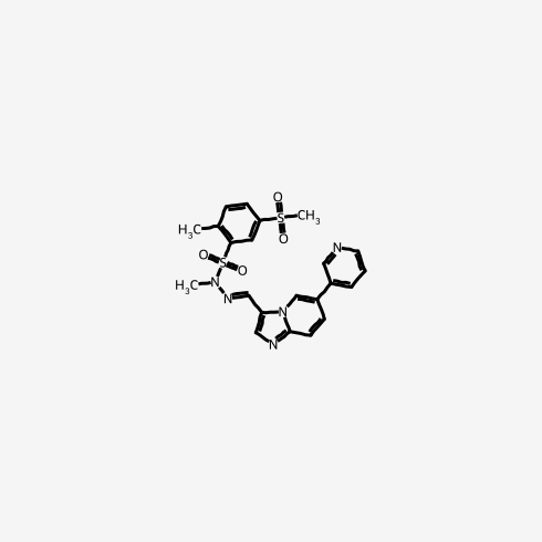 Cc1ccc(S(C)(=O)=O)cc1S(=O)(=O)N(C)N=Cc1cnc2ccc(-c3cccnc3)cn12